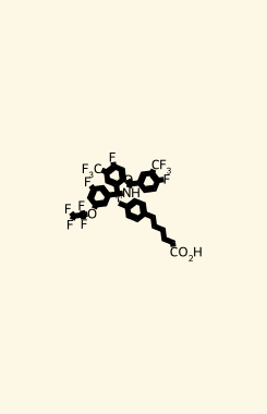 O=C(O)CCCCCc1ccc(C[C@](NC(=O)c2ccc(F)c(C(F)(F)F)c2)(c2cc(F)cc(OC(F)(F)C(F)F)c2)c2ccc(F)c(C(F)(F)F)c2)cc1